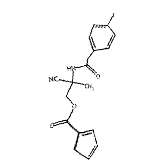 CC(C#N)(COC(=O)C1=CC=CC1)NC(=O)c1ccc(I)cc1